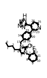 CCCCc1cn(-c2ccccc2F)c(=O)n1Cc1ccc(-c2cnccc2-c2nnn[nH]2)cc1